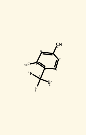 N#Cc1ccc(C(F)(F)Br)c(F)c1